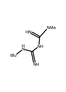 CNC(=N)NC(=N)NC(C)(C)C